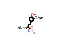 CCCCCCCCCC(CCc1ccc(O)c(OC)c1)C(N)=O